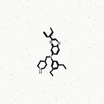 C=C/C(=C\C)c1cnc2ccc(N(CC3CCNCC3)c3cc(CC)cc(CC)c3)cc2n1